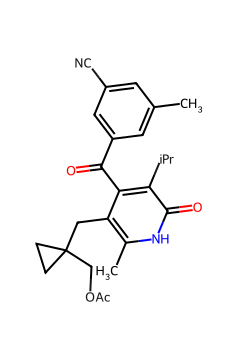 CC(=O)OCC1(Cc2c(C)[nH]c(=O)c(C(C)C)c2C(=O)c2cc(C)cc(C#N)c2)CC1